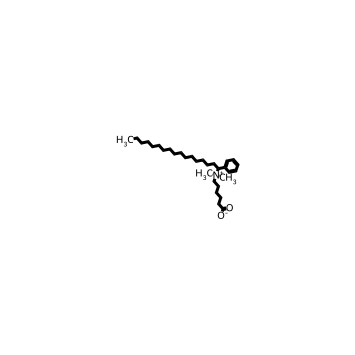 CCCCCCCCCCCCCCCCC(c1ccccc1)[N+](C)(C)CCCCCC(=O)[O-]